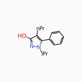 CCCc1c(O)nn(C(C)C)c1-c1ccccc1